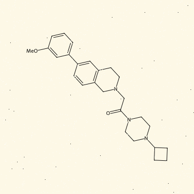 COc1cccc(-c2ccc3c(c2)CCN(CC(=O)N2CCN(C4CCC4)CC2)C3)c1